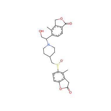 Cc1c([S+]([O-])CC2CCN(C(CO)c3ccc4c(c3C)COC4=O)CC2)ccc2c1CC(=O)O2